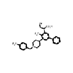 CC(C)CC(C(=O)O)c1cc(-c2ccccc2)cc(C2CCN(Cc3ccc(C(F)(F)F)cc3)CC2)c1C(F)(F)F